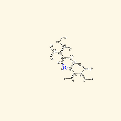 C=CC(=C\C)/C(=C/C)c1ncc(/C(C(=C)C)=C(\C)CC)cc1C